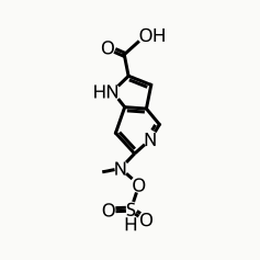 CN(O[SH](=O)=O)c1cc2[nH]c(C(=O)O)cc2cn1